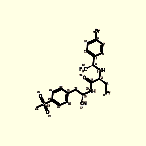 CC(C)C[C@H](N[C@@H](c1ccc(Br)cc1)C(F)(F)F)C(=O)N[C@H](C#N)Cc1ccc(S(C)(=O)=O)cc1